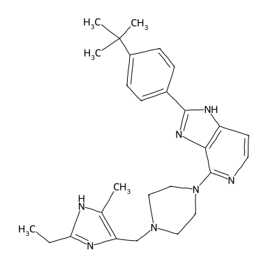 CCc1nc(CN2CCN(c3nccc4[nH]c(-c5ccc(C(C)(C)C)cc5)nc34)CC2)c(C)[nH]1